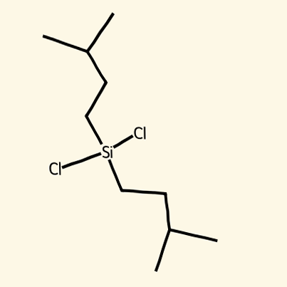 CC(C)CC[Si](Cl)(Cl)CCC(C)C